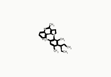 CCC(CC)c1c(C)cc(C)c(N2CCc3c(C)nc4ccccc4c32)c1C